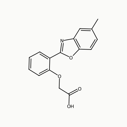 Cc1ccc2oc(-c3ccccc3OCC(=O)O)nc2c1